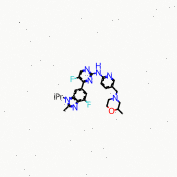 Cc1nc2c(F)cc(-c3nc(Nc4ccc(CN5CCOC(C)C5)cn4)ncc3F)cc2n1C(C)C